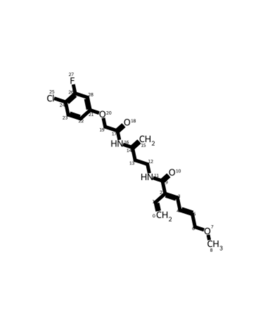 C=C/C(=C\C=C\COC)C(=O)NCCC(=C)NC(=O)COc1ccc(Cl)c(F)c1